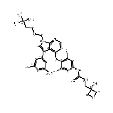 CC1(CNC(=O)Nc2cc(F)c(Oc3ccnc4c3c(-c3cc(F)cc(C#N)c3)cn4COCC[Si](C)(C)C)c(F)c2)COC1